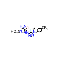 NC(=O)C1(CNc2ncnc(N(Cc3ccc(C(F)(F)F)cc3)C3CC3)c2F)CCN(C(=O)O)CC1